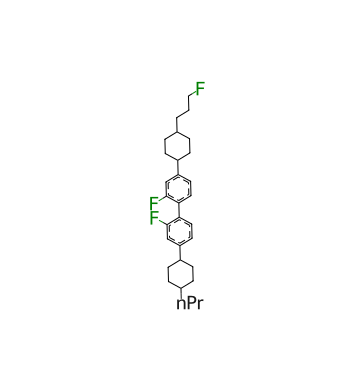 CCCC1CCC(c2ccc(-c3ccc(C4CCC(CCCF)CC4)cc3F)c(F)c2)CC1